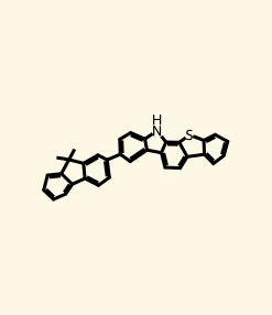 CC1(C)c2ccccc2-c2ccc(-c3ccc4[nH]c5c(ccc6c7ccccc7sc65)c4c3)cc21